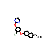 O=CCc1ccc2cc(Oc3ccc(Oc4ncccn4)cc3Cl)ccc2c1